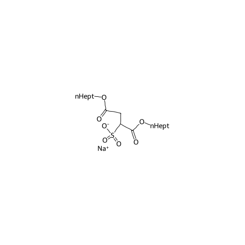 CCCCCCCOC(=O)CC(C(=O)OCCCCCCC)S(=O)(=O)[O-].[Na+]